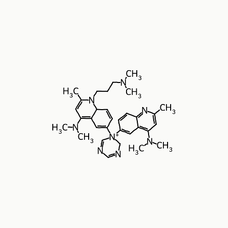 CC1=CC(N(C)C)=C2C=C([N+]3(c4ccc5nc(C)cc(N(C)C)c5c4)C=NC=NC3)C=CC2N1CCCN(C)C